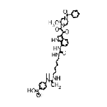 C=C(NCCCCCCNC(=O)Nc1cccc2c(C(=O)C(=O)N3CCN(C(=O)c4ccccc4)C[C@H]3C)c[nH]c12)Nc1ccc(B(O)O)cc1